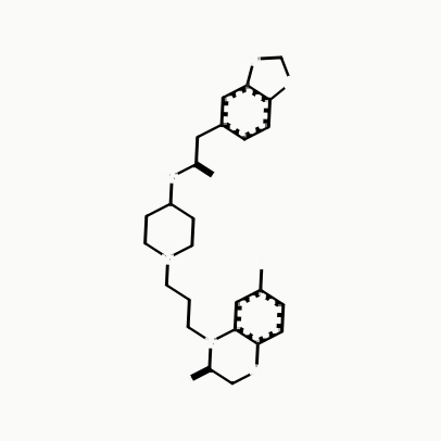 O=C(Cc1ccc2c(c1)OCO2)NC1CCN(CCCN2C(=O)COc3ccc(F)cc32)CC1